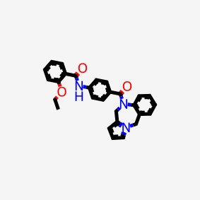 CCOc1ccccc1C(=O)Nc1ccc(C(=O)N2Cc3cccn3Cc3ccccc32)cc1